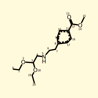 CCOC(CNCCc1ccc(C(=O)OC)cc1)OCC